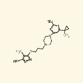 CCCc1nnc(SCCCN2CCN(c3cc(C4(C)CC4)nc(C(C)(C)C)n3)CC2)n1C